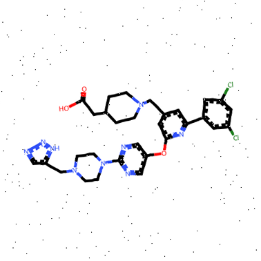 O=C(O)CC1CCN(Cc2cc(Oc3cnc(N4CCN(Cc5cnn[nH]5)CC4)nc3)nc(-c3cc(Cl)cc(Cl)c3)c2)CC1